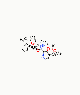 C=Cc1ccccc1[C@H](C)[C@H](C)OC[C@@](C)(C=O)NC(=O)c1nccc(OC)c1OC(=O)CC